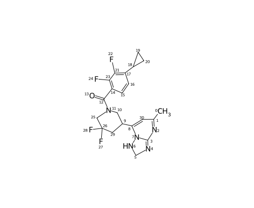 CC1=NC2=NCNN2C(C2CN(C(=O)c3ccc(C4CC4)c(F)c3F)CC(F)(F)C2)=C1